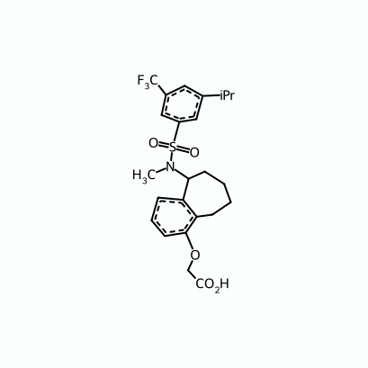 CC(C)c1cc(C(F)(F)F)cc(S(=O)(=O)N(C)C2CCCCc3c(OCC(=O)O)cccc32)c1